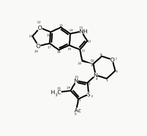 CC(=O)c1sc(N2CCOC[C@@H]2Cc2c[nH]c3cc4c(cc23)OCO4)nc1C